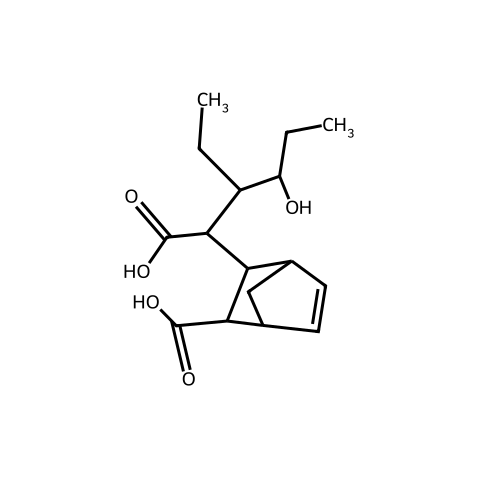 CCC(O)C(CC)C(C(=O)O)C1C2C=CC(C2)C1C(=O)O